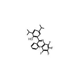 CC(C)c1cc(C(=Nc2c(F)c(F)c(F)c(F)c2F)c2ccccc2)c(O)c(C(C)C)c1